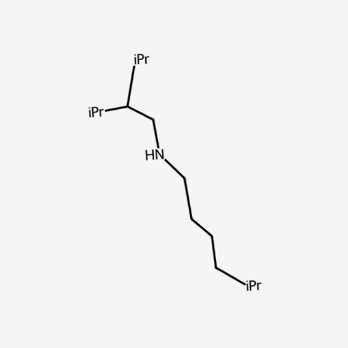 CC(C)CCCCNCC(C(C)C)C(C)C